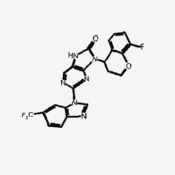 O=c1[nH]c2cnc(-n3cnc4ccc(C(F)(F)F)cc43)nc2n1C1CCOc2c(F)cccc21